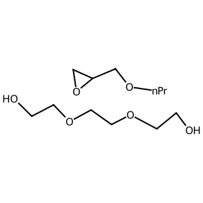 CCCOCC1CO1.OCCOCCOCCO